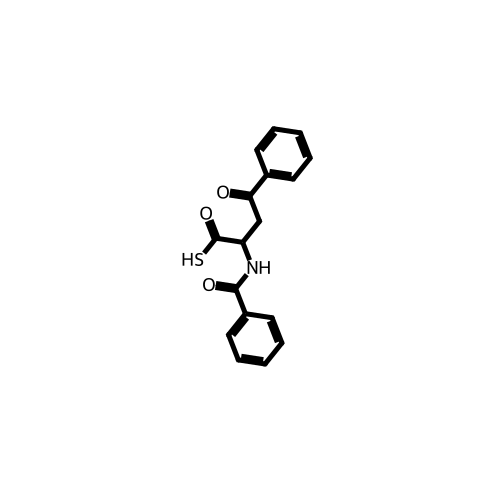 O=C(CC(NC(=O)c1ccccc1)C(=O)S)c1ccccc1